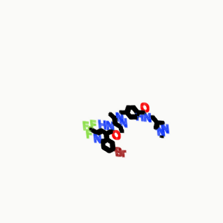 Cc1nn(Cc2ccc(C(=O)NCc3cnn(C)c3)cc2)c(C)c1NC(=O)c1cc(C(F)(F)F)nc2ccc(Br)cc12